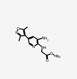 CCCCOC(=O)CNc1ncc(-c2c(C)noc2C)cc1N